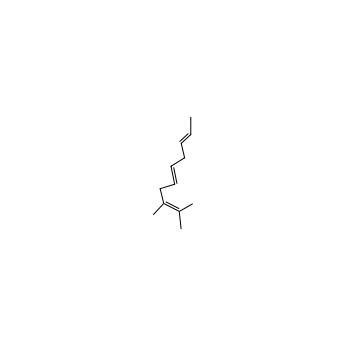 CC=CCC=CCC(C)=C(C)C